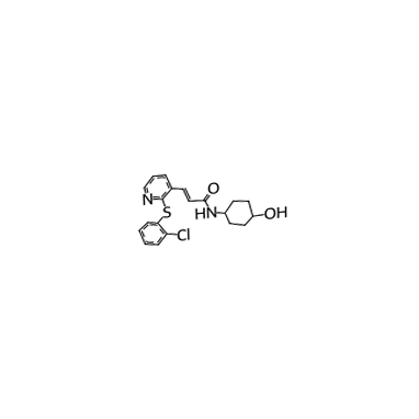 O=C(/C=C/c1cccnc1Sc1ccccc1Cl)NC1CCC(O)CC1